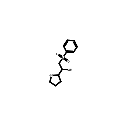 O=S(=O)(C[C@@H](O)C1CCCN1)c1ccccc1